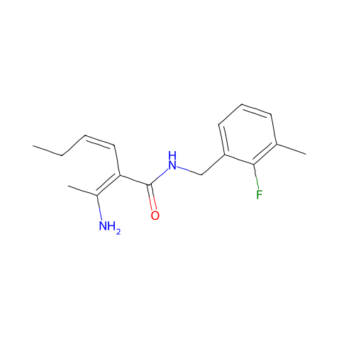 CC/C=C\C(C(=O)NCc1cccc(C)c1F)=C(/C)N